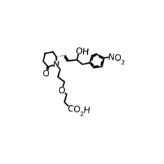 O=C(O)CCOCCCN1C(=O)CCC[C@@H]1/C=C/C(O)Cc1ccc([N+](=O)[O-])cc1